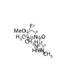 COC1[C@H](F)CN(C(=O)C2CN(C)NN2)CC1(C)C